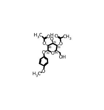 COc1ccc(O[C@@H]2O[C@H](CO)[C@@H](OC(C)=O)[C@H](O)[C@H]2OC(C)=O)cc1